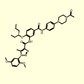 CCC[C@H](CC)Oc1ccc(C(=O)Nc2ccc(N3CCN(C(C)=O)CC3)cc2)cc1NC(=O)c1nnn(-c2cc(OC)ccc2OC)c1C